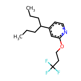 CCCC(CCC)c1ccnc(OCCC(F)(F)F)c1